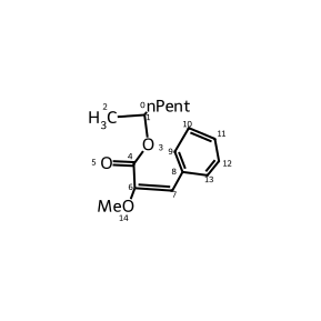 CCCCCC(C)OC(=O)C(=Cc1ccccc1)OC